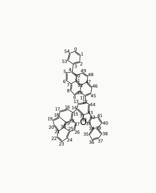 c1ccc(-c2ccc3ccc4c(-c5cc(-c6ccc7ccc8cccc9ccc6c7c89)c6oc7c8ccccc8ccc7c6c5)ccc5ccc2c3c54)cc1